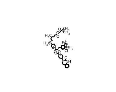 CC(CCC(=O)OCC(=O)N(C)C)CCN(C)C1CCN(C(=O)[C@@H](Cc2cc(Cl)c(N)c(C(F)(F)F)c2)OC(=O)N2CCC(N3CCc4ccccc4NC3=O)CC2)CC1